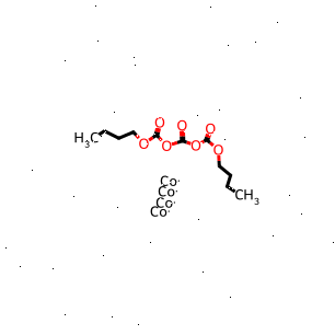 CCCCOC(=O)OC(=O)OC(=O)OCCCC.[Co].[Co].[Co].[Co]